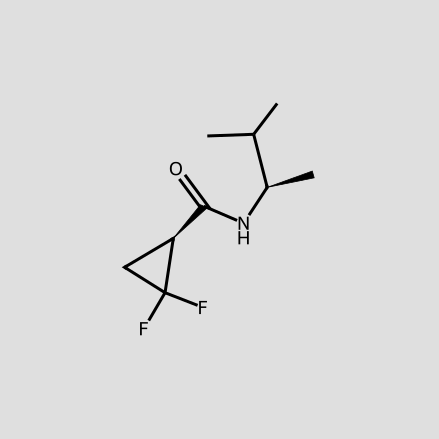 CC(C)[C@@H](C)NC(=O)[C@@H]1CC1(F)F